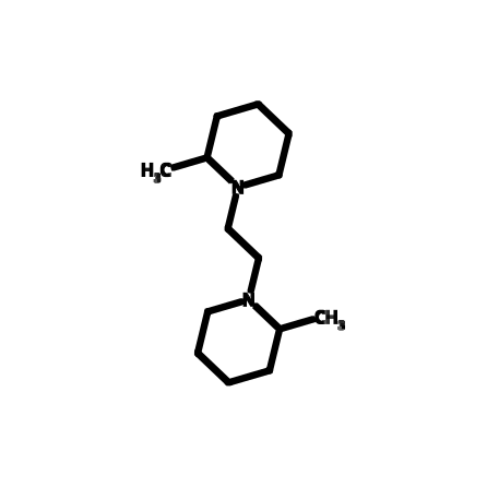 CC1CCCCN1CCN1CCCCC1C